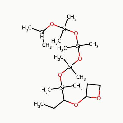 CCC(OC1CCO1)[Si](C)(C)O[Si](C)(C)O[Si](C)(C)O[Si](C)(C)O[SiH](C)C